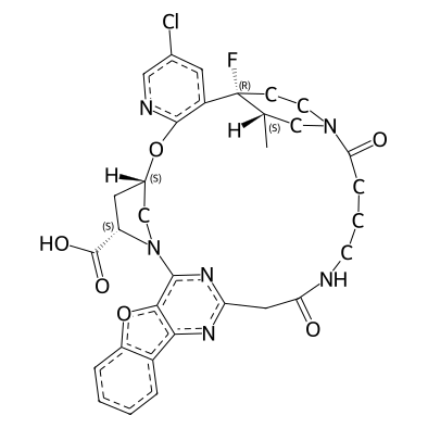 C[C@H]1CN2CC[C@]1(F)c1cc(Cl)cnc1O[C@H]1C[C@@H](C(=O)O)N(C1)c1nc(nc3c1oc1ccccc13)CC(=O)NCCCC2=O